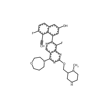 C#Cc1c(F)ccc2cc(O)cc(-c3ncc4c(N5CCCOCC5)nc(OCC5CNCCN5C)nc4c3F)c12